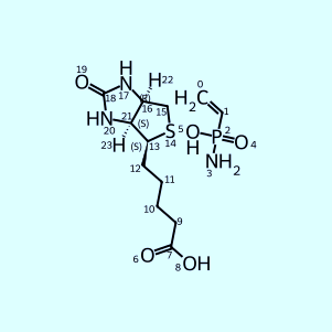 C=CP(N)(=O)O.O=C(O)CCCC[C@@H]1SC[C@@H]2NC(=O)N[C@@H]21